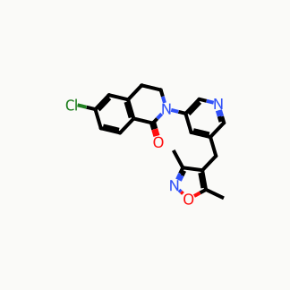 Cc1noc(C)c1Cc1cncc(N2CCc3cc(Cl)ccc3C2=O)c1